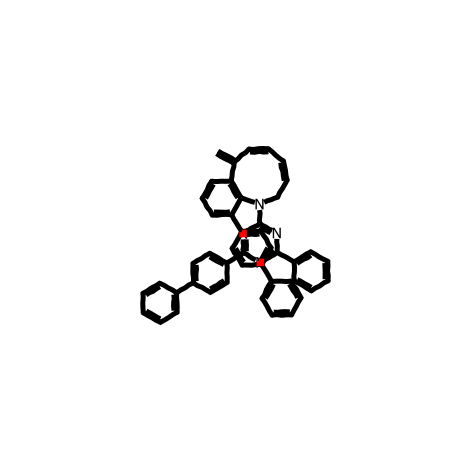 C=C1/C=C\C=C/CN(c2nc(-c3ccccc3)nc(-c3ccc(-c4ccccc4)cc3)n2)c2c1cccc2-c1ccc(-c2ccccc2)cc1